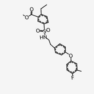 CCc1ccc(S(=O)(=O)NCCc2ccc(Oc3ccc(F)c(C)c3)cc2)cc1C(=O)OC